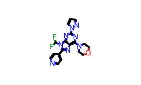 FC(F)n1c(-c2ccncc2)nc2c(N3CCOCC3)nc(-n3cccn3)nc21